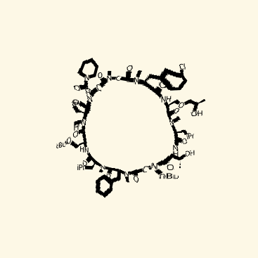 CCCCN1CC(=O)N(C)C(Cc2ccccc2)C(=O)N(C)[C@@H](CC(C)C)C(=O)N[C@@H](COC(C)(C)C)C(O)N(C)[C@@H](CC(C)C)C(=O)N[C@H](C(=O)N2CCCCC2)CC(=O)N(C)CC(=O)N(C)[C@@H](Cc2cccc(Cl)c2)C(=O)N[C@@H](COC[C@@H](C)O)C(=O)N(C)[C@@H](CC(C)C)C(=O)N[C@@H]([C@@H](C)O)C1=O